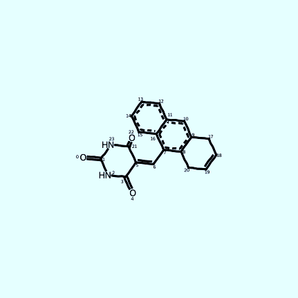 O=C1NC(=O)C(=Cc2c3c(cc4ccccc24)CC=CC3)C(=O)N1